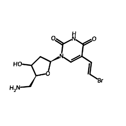 NC[C@@H]1O[C@H](n2cc(/C=C/Br)c(=O)[nH]c2=O)CC1O